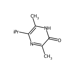 Cc1[nH]c(=O)c(C)nc1C(C)C